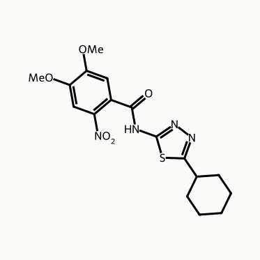 COc1cc(C(=O)Nc2nnc(C3CCCCC3)s2)c([N+](=O)[O-])cc1OC